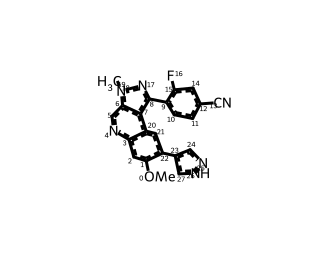 COc1cc2ncc3c(c(-c4ccc(C#N)cc4F)nn3C)c2cc1-c1cn[nH]c1